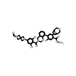 COC(=O)c1cc(F)c(-c2cccc3c2OCN(C(=O)c2c(Cl)cc(N4CC5(CN(C=O)C5)C4)cc2Cl)C3)cc1N1C2CCC1COC2